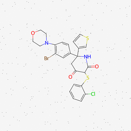 O=C1CC(c2ccsc2)(c2ccc(N3CCOCC3)c(Br)c2)NC(=O)C1Sc1ccccc1Cl